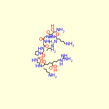 C[C@H](NC(=O)[C@@H](NC(=O)[C@@H](N)CCCCN)[C@@H](O)CN)C(=O)NCC(=O)N[C@H](CCCN)C(=O)N1CCC[C@H]1C(=O)N[C@@H](C)C(=O)N[C@@H](CCCCN)C(=O)CCC(CCCNC(=N)N)C(=O)O